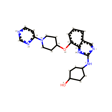 OC1CCC(Nc2ncc3cccc(OC4CCN(c5ccncn5)CC4)c3n2)CC1